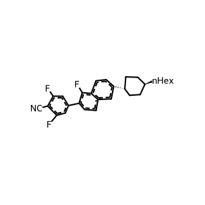 CCCCCC[C@H]1CC[C@H](c2ccc3c(F)c(-c4cc(F)c(C#N)c(F)c4)ccc3c2)CC1